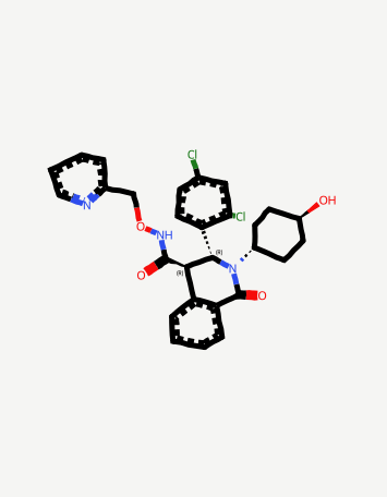 O=C(NOCc1ccccn1)[C@@H]1c2ccccc2C(=O)N([C@H]2CC[C@H](O)CC2)[C@H]1c1ccc(Cl)cc1Cl